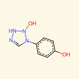 Oc1ccc(N2C=NNN2O)cc1